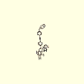 Cc1nccn1C[C@H](Cc1nc[nH]c(=O)c1O)c1ccc(C#Cc2ccc(CN3CCOCC3)cc2)cc1